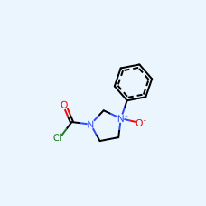 O=C(Cl)N1CC[N+]([O-])(c2ccccc2)C1